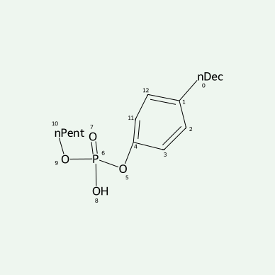 CCCCCCCCCCc1ccc(OP(=O)(O)OCCCCC)cc1